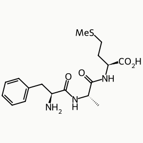 CSCC[C@H](NC(=O)[C@H](C)NC(=O)[C@@H](N)Cc1ccccc1)C(=O)O